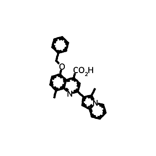 Cc1ccc(OCc2ccccc2)c2c(C(=O)O)cc(-c3cc4ccccn4c3C)nc12